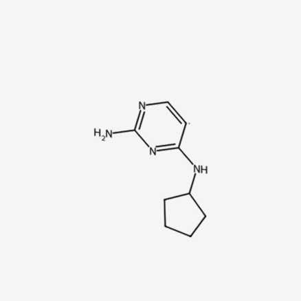 Nc1nc[c]c(NC2CCCC2)n1